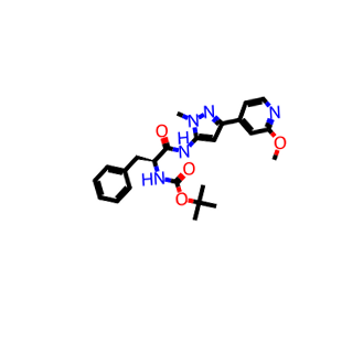 COc1cc(-c2cc(NC(=O)[C@H](Cc3ccccc3)NC(=O)OC(C)(C)C)n(C)n2)ccn1